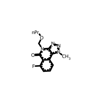 CCCOCn1c(=O)c2c(F)cccc2c2c1nnn2C